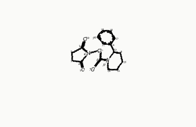 O=C1CCC(=O)N1OC(=O)N1CCCCC1c1ccccc1